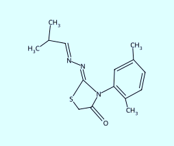 Cc1ccc(C)c(N2C(=O)CS/C2=N\N=C\C(C)C)c1